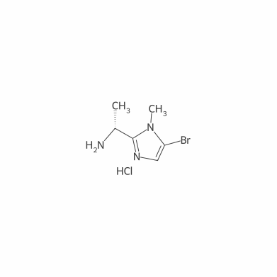 C[C@@H](N)c1ncc(Br)n1C.Cl